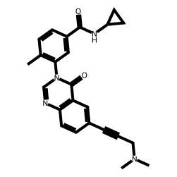 Cc1ccc(C(=O)NC2CC2)cc1-n1cnc2ccc(C#CCN(C)C)cc2c1=O